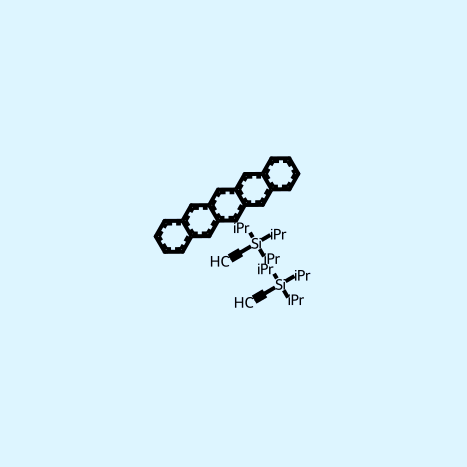 C#C[Si](C(C)C)(C(C)C)C(C)C.C#C[Si](C(C)C)(C(C)C)C(C)C.c1ccc2cc3cc4cc5ccccc5cc4cc3cc2c1